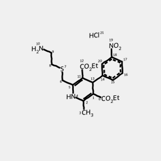 CCOC(=O)C1=C(C)NC(CSCCN)=C(C(=O)OCC)C1c1cccc([N+](=O)[O-])c1.Cl